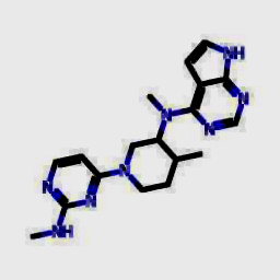 CNc1nccc(N2CCC(C)C(N(C)c3ncnc4[nH]ccc34)C2)n1